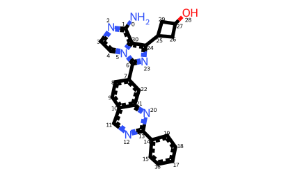 Nc1nccn2c(-c3ccc4cnc(-c5ccccc5)nc4c3)nc(C3CC(O)C3)c12